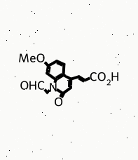 COc1ccc2c(C=CC(=O)O)cc(=O)n(CC=O)c2c1